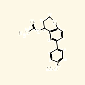 CSc1ccc(-c2ccc3c(c2)C(OC(N)=O)CCO3)cc1